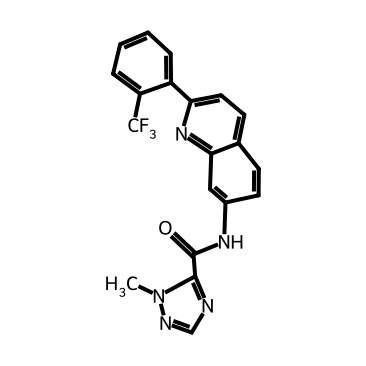 Cn1ncnc1C(=O)Nc1ccc2ccc(-c3ccccc3C(F)(F)F)nc2c1